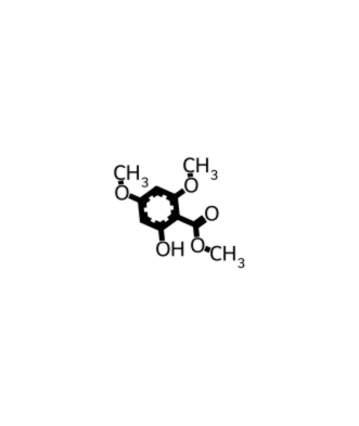 COC(=O)c1c(O)cc(OC)cc1OC